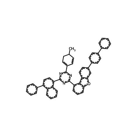 CC1C=CC(c2nc(-c3ccc(-c4ccccc4)c4ccccc34)nc(-c3cccc4oc5cc(-c6ccc(-c7ccccc7)cc6)ccc5c34)n2)=CC1